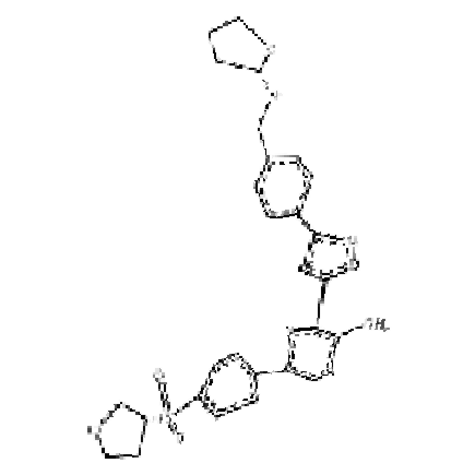 Nc1ncc(-c2ccc(S(=O)(=O)[C@@H]3CCOC3)cc2)nc1-c1cc(-c2ccc(CN[C@@H]3CCCO3)cc2)no1